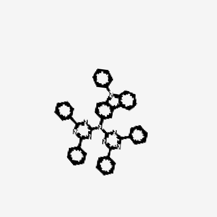 c1ccc(-c2nc(-c3ccccc3)nc(N(c3ccc4c(c3)c3ccccc3n4-c3ccccc3)c3nc(-c4ccccc4)nc(-c4ccccc4)n3)n2)cc1